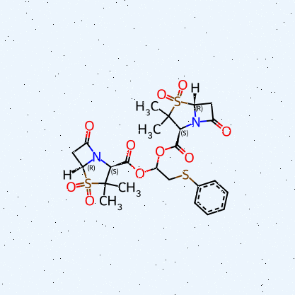 CC1(C)[C@H](C(=O)OC(CSc2ccccc2)OC(=O)[C@@H]2N3C(=O)C[C@H]3S(=O)(=O)C2(C)C)N2C(=O)C[C@H]2S1(=O)=O